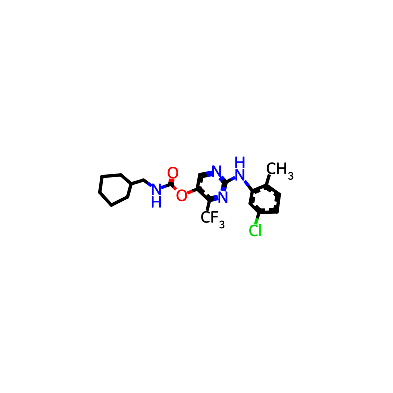 Cc1ccc(Cl)cc1Nc1ncc(OC(=O)NCC2CCCCC2)c(C(F)(F)F)n1